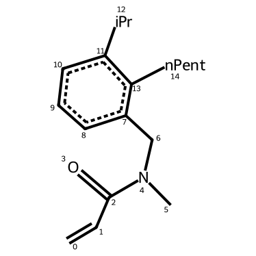 C=CC(=O)N(C)Cc1cccc(C(C)C)c1CCCCC